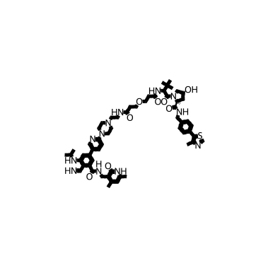 Cc1cc(C)c(CNC(=O)c2cc(-c3ccc(N4CCN(CCNC(=O)CCOCCC(=O)NC(C(=O)N5C[C@H](O)C[C@H]5C(=O)NCc5ccc(-c6scnc6C)cc5)C(C)(C)C)CC4)nc3)cc(NC(C)C)c2C=N)c(=O)[nH]1